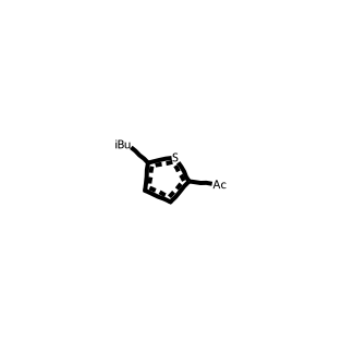 CCC(C)c1ccc(C(C)=O)s1